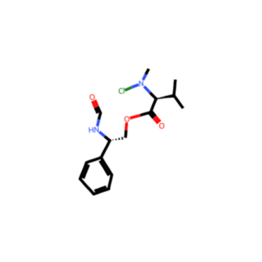 CC(C)[C@@H](C(=O)OC[C@@H](NC=O)c1ccccc1)N(C)Cl